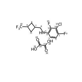 Fc1ccc(NCC2CC(C(F)(F)F)C2)c(F)c1Cl.O=C(O)C(=O)O